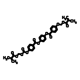 C=C(C)C(=O)OCOC(=O)Oc1ccc(C(=O)Oc2ccc(OC(=O)c3ccc(OCOC(=O)C(=C)C)cc3)cc2)cc1